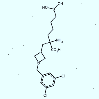 NC(CCCCB(O)O)(CC1CN(Cc2cc(Cl)cc(Cl)c2)C1)C(=O)O